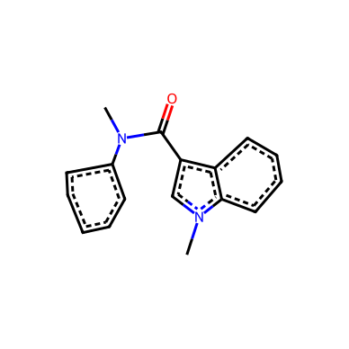 CN(C(=O)c1cn(C)c2ccccc12)c1ccccc1